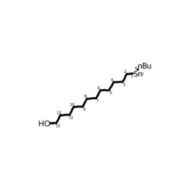 CCC[CH2][Sn][CH2]CCCCCCCCCCCO